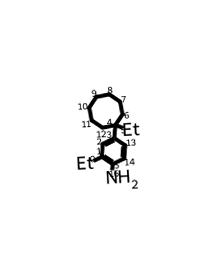 CCc1cc(C2(CC)CCCCCCC2)ccc1N